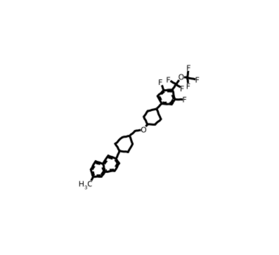 Cc1ccc2cc(C3CCC(COC4CCC(c5cc(F)c(C(F)(F)OC(F)(F)F)c(F)c5)CC4)CC3)ccc2c1